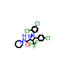 O=C(NN1CCCCCC1)C1=NN(c2ccc(Cl)cc2Cl)C(c2ccc(Cl)cc2)C1C(F)(F)F